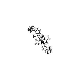 Nc1ccc(-c2cccc(C(F)(F)F)c2)nc1N(C(=S)Nc1cccc(-c2cnco2)c1)C1CCC1